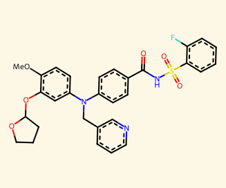 COc1ccc(N(Cc2cccnc2)c2ccc(C(=O)NS(=O)(=O)c3ccccc3F)cc2)cc1OC1CCCO1